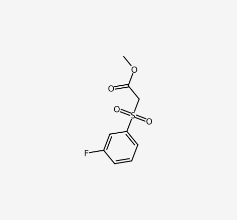 COC(=O)CS(=O)(=O)c1cccc(F)c1